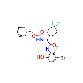 O=C(NC(C(=O)Nc1c(O)ccc(Br)c1F)C1CCC(F)(F)CC1)OCc1ccccc1